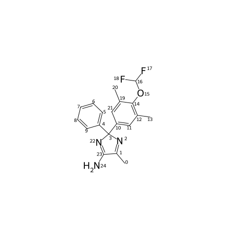 CC1=NC(c2ccccc2)(c2cc(C)c(OC(F)F)c(C)c2)N=C1N